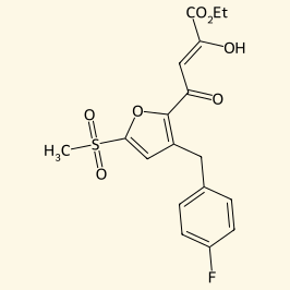 CCOC(=O)C(O)=CC(=O)c1oc(S(C)(=O)=O)cc1Cc1ccc(F)cc1